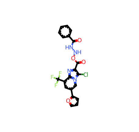 O=C(NNOC(=O)c1nc2c(C(F)(F)F)cc(-c3ccco3)cn2c1Cl)c1ccccc1